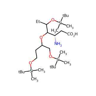 CCC(O[Si](C)(C)C(C)(C)C)C(OC(CCO[Si](C)(C)C(C)(C)C)CO[Si](C)(C)C(C)(C)C)[C@@H](N)CC(=O)O